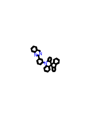 c1cc(-c2ncc3ccccc3n2)cc(N2c3ccccc3C3(c4ccccc4-c4ccccc43)c3ccccc32)c1